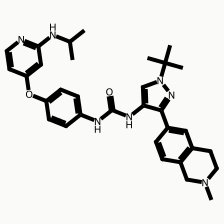 CC(C)Nc1cc(Oc2ccc(NC(=O)Nc3cn(C(C)(C)C)nc3-c3ccc4c(c3)CCN(C)C4)cc2)ccn1